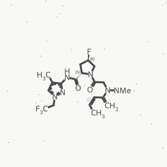 C=C(/C=C\C)N(CC(=O)N1C[C@H](F)C[C@H]1C(=O)Nc1nn(CC(F)(F)F)cc1C)NC